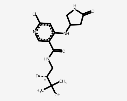 CC(C)(O)[C@H](F)CNC(=O)c1cnc(Cl)cc1NC1CNC(=O)C1